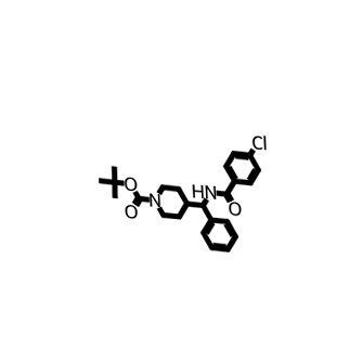 CC(C)(C)OC(=O)N1CCC(C(NC(=O)c2ccc(Cl)cc2)c2ccccc2)CC1